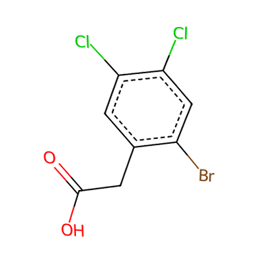 O=C(O)Cc1cc(Cl)c(Cl)cc1Br